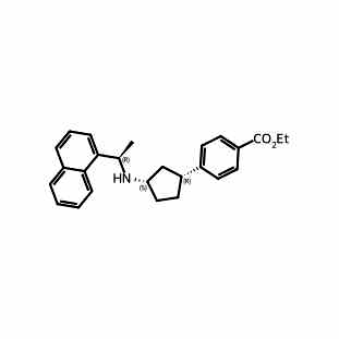 CCOC(=O)c1ccc([C@@H]2CC[C@H](N[C@H](C)c3cccc4ccccc34)C2)cc1